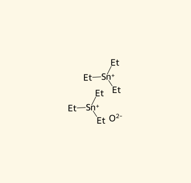 C[CH2][Sn+]([CH2]C)[CH2]C.C[CH2][Sn+]([CH2]C)[CH2]C.[O-2]